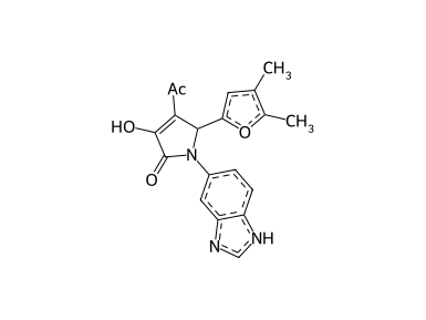 CC(=O)C1=C(O)C(=O)N(c2ccc3[nH]cnc3c2)C1c1cc(C)c(C)o1